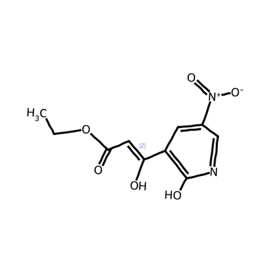 CCOC(=O)/C=C(\O)c1cc([N+](=O)[O-])cnc1O